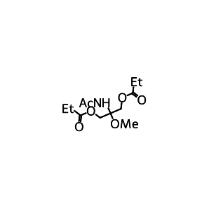 CCC(=O)OCC(COC(=O)CC)(NC(C)=O)OC